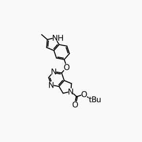 Cc1cc2cc(Oc3ncnc4c3CN(C(=O)OC(C)(C)C)C4)ccc2[nH]1